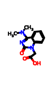 CN(C)c1nc(=O)n(CC(=O)O)c2ccccc12